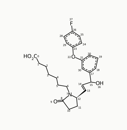 O=C(O)CCCCCCN1C(=O)CC[C@@H]1/C=C/C(O)c1cccc(Oc2ccc(F)cc2)c1